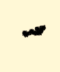 CC(C)(C)OC(=O)c1ccc2nc(CN3CCC(c4cccc(OCc5cnn6ccccc56)n4)CC3)n(C[C@@H]3CCO3)c2c1